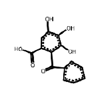 O=C(O)c1cc(O)c(O)c(O)c1C(=O)c1ccccc1